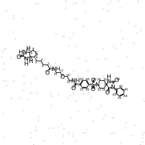 O=C(CCCC[C@@H]1SC[C@@H]2NC(=O)N[C@@H]21)NCCOCCNC(=O)c1ccc(S(=O)(=O)N2CCC3(CC2)NC(=O)N(c2ccccc2)C3=O)cc1